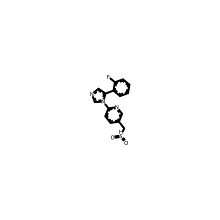 O=[SH](=O)Cc1ccc(-n2cncc2-c2ccccc2F)nc1